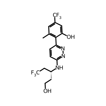 Cc1cc(C(F)(F)F)cc(O)c1-c1ccc(N[C@H](CCO)CC(F)(F)F)nn1